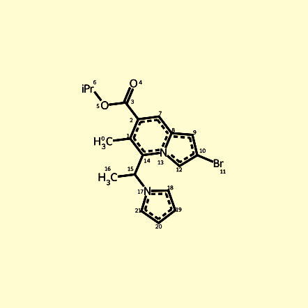 Cc1c(C(=O)OC(C)C)cc2cc(Br)cn2c1C(C)n1cccc1